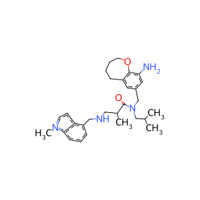 CC(C)CN(Cc1cc(N)c2c(c1)CCCCO2)C(=O)C(C)CNCc1cccc2c1ccn2C